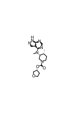 C[C@@H]1CCN(C(=O)O[C@@H]2CCOC2)C[C@@H]1N(C)c1ncnc2[nH]ncc12